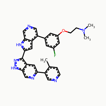 Cc1ccncc1-c1cc2c(-c3cc4c(-c5cc(F)cc(OCCN(C)C)c5)cncc4[nH]3)n[nH]c2cn1